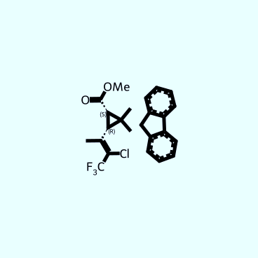 COC(=O)[C@H]1[C@@H](C(C)=C(Cl)C(F)(F)F)C1(C)C.c1ccc2c(c1)Cc1ccccc1-2